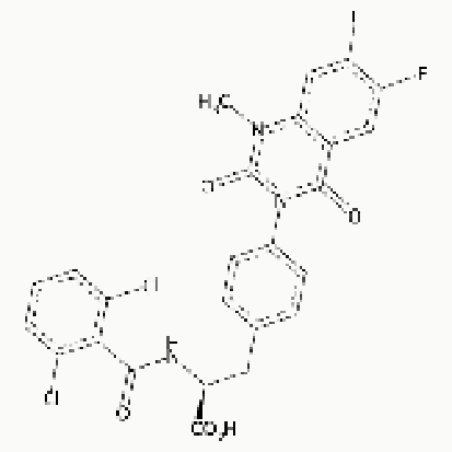 Cn1c(=O)n(-c2ccc(C[C@H](NC(=O)c3c(Cl)cccc3Cl)C(=O)O)cc2)c(=O)c2cc(F)c(F)cc21